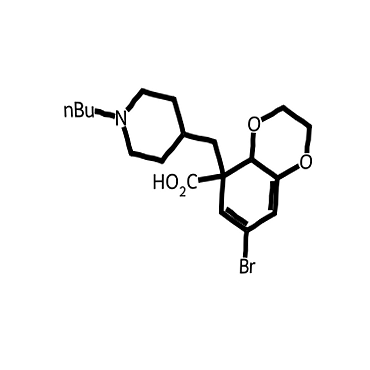 CCCCN1CCC(CC2(C(=O)O)C=C(Br)C=C3OCCOC32)CC1